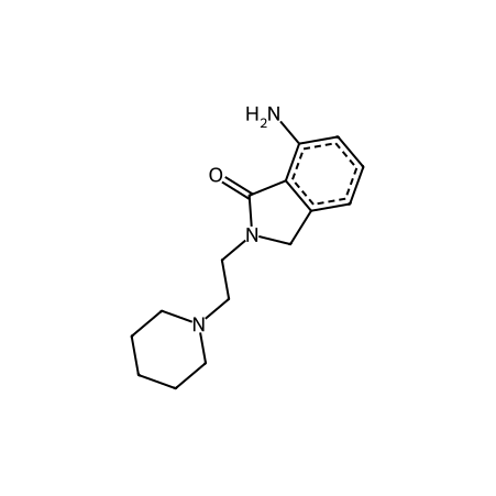 Nc1cccc2c1C(=O)N(CCN1CCCCC1)C2